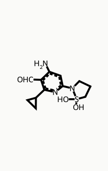 Nc1cc(N2CCCS2(O)O)nc(C2CC2)c1C=O